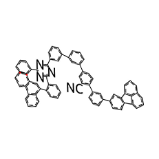 N#Cc1cc(-c2cccc(-c3cccc(-c4nc(-c5ccccc5)nc(-c5ccccc5-c5cc6ccccc6c6ccccc56)n4)c3)c2)ccc1-c1cccc(-c2ccc3c(c2)-c2cccc4cccc-3c24)c1